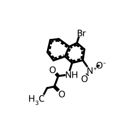 CCC(=O)C(=O)Nc1c([N+](=O)[O-])cc(Br)c2ccccc12